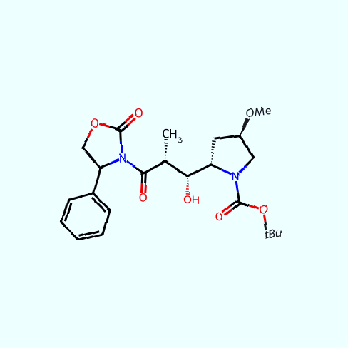 CO[C@@H]1C[C@@H]([C@H](O)[C@@H](C)C(=O)N2C(=O)OCC2c2ccccc2)N(C(=O)OC(C)(C)C)C1